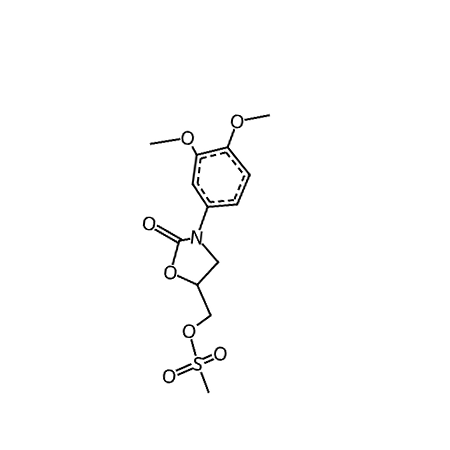 COc1ccc(N2CC(COS(C)(=O)=O)OC2=O)cc1OC